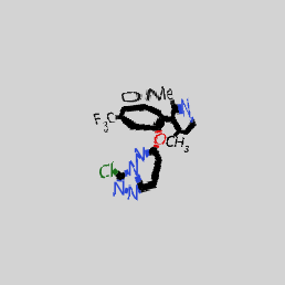 COc1nccc(C)c1-c1ccc(C(F)(F)F)cc1Oc1ccc2nnc(Cl)n2n1